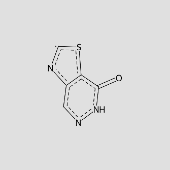 O=c1[nH]ncc2n[c]sc12